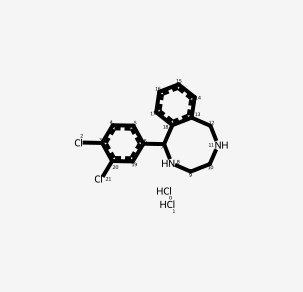 Cl.Cl.Clc1ccc(C2NCCNCc3ccccc32)cc1Cl